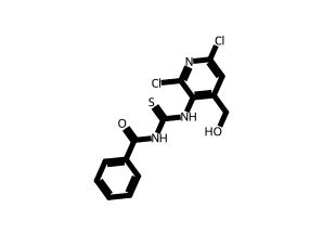 O=C(NC(=S)Nc1c(CO)cc(Cl)nc1Cl)c1ccccc1